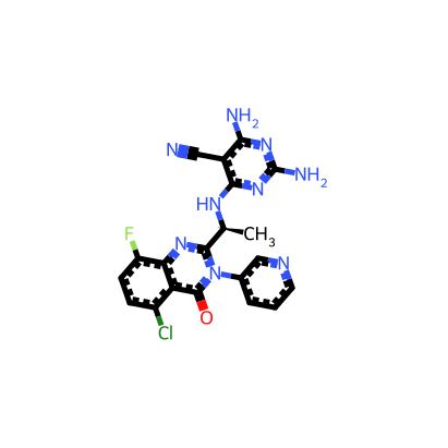 C[C@H](Nc1nc(N)nc(N)c1C#N)c1nc2c(F)ccc(Cl)c2c(=O)n1-c1cccnc1